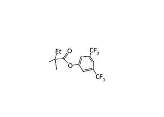 CCC(C)(C)C(=O)Oc1cc(C(F)(F)F)cc(C(F)(F)F)c1